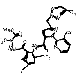 COC(=O)N(C)NC(=O)c1cc(I)cc(C)c1NC(=O)c1cc(Cn2ncc(C(F)(F)F)n2)nn1-c1ncccc1Cl